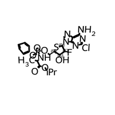 CC(C)OC(=O)C(C)NP(=O)(OC[C@H]1S[C@@H](n2cnc3c(N)nc(Cl)nc32)[C@@H](F)[C@@H]1O)Oc1ccccc1